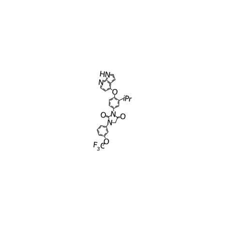 CC(C)c1cc(N2C(=O)CN(c3cccc(OC(F)(F)F)c3)C2=O)ccc1Oc1ccnc2[nH]ccc12